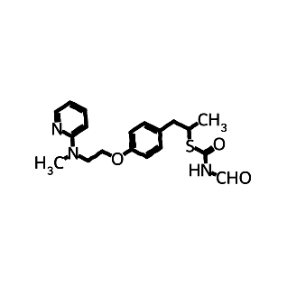 CC(Cc1ccc(OCCN(C)c2ccccn2)cc1)SC(=O)NC=O